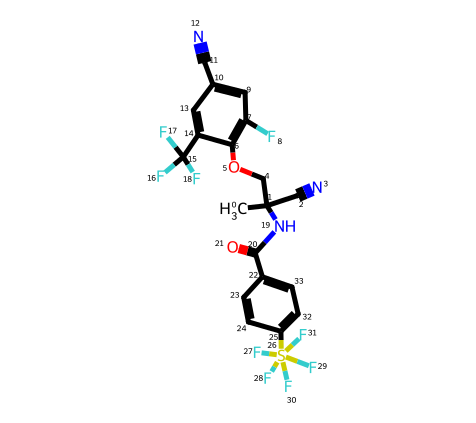 CC(C#N)(COc1c(F)cc(C#N)cc1C(F)(F)F)NC(=O)c1ccc(S(F)(F)(F)(F)F)cc1